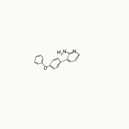 Nc1ncccc1-c1ccc(Oc2ccccc2)cc1